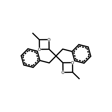 CC1OC(C(Cc2ccccc2)(Cc2ccccc2)C2OC(C)O2)O1